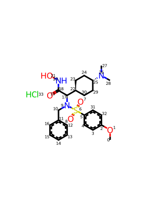 COc1ccc(S(=O)(=O)N(Cc2ccccc2)[C@@H](C(=O)NO)[C@H]2CC[C@H](N(C)C)CC2)cc1.Cl